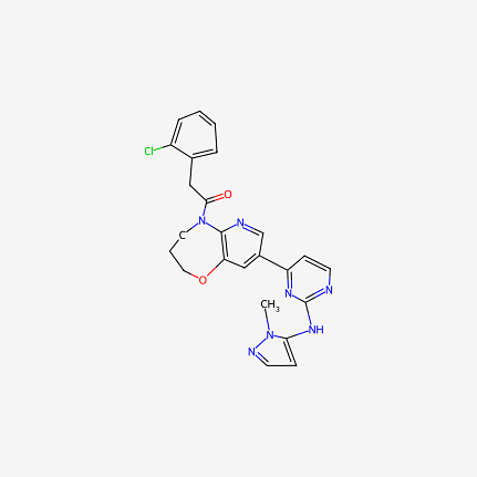 Cn1nccc1Nc1nccc(-c2cnc3c(c2)OCCCN3C(=O)Cc2ccccc2Cl)n1